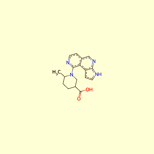 CC1CCC(C(=O)O)CN1c1nccc2cnc3[nH]ccc3c12